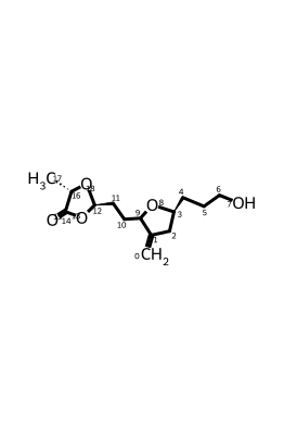 C=C1C[C@H](CCCO)OC1CC[C@H]1OC(=O)[C@H](C)O1